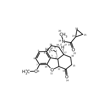 CC[C@@]12c3c4ccc(OC)c3OC1C(=O)CC[C@@H]2[C@@H](N(C)C(=O)C1CC1)C4